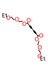 CCOCCOCCOC(=O)C#CC#CC(=O)OCCOCCOCC